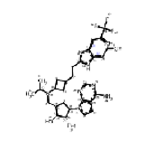 C=C(/C=c1/nc(CCC2CC(N(C[C@H]3C[C@@H](n4ccc5c(N)ncnc54)[C@H](O)[C@@H]3O)C(C)C)C2)[nH]/c1=C/CCl)C(F)(F)F